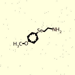 COc1ccc([Se]CCN)cc1